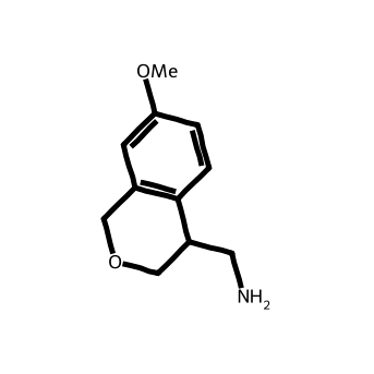 COc1ccc2c(c1)COCC2CN